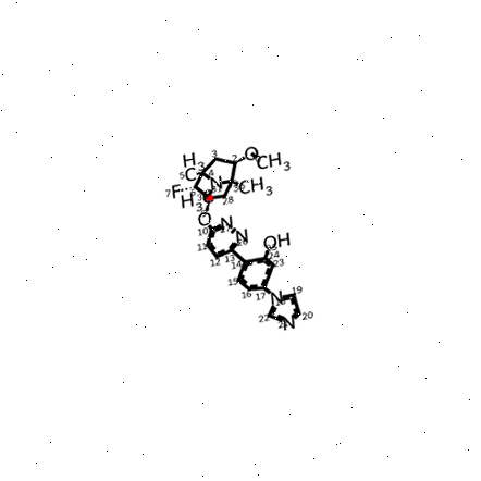 CO[C@@H]1C[C@@]2(C)[C@@H](F)[C@H](Oc3ccc(-c4ccc(-n5ccnc5)cc4O)nn3)C[C@]1(C)N2C